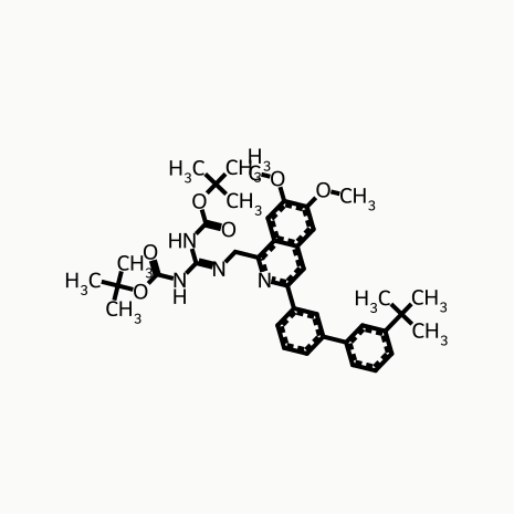 COc1cc2cc(-c3cccc(-c4cccc(C(C)(C)C)c4)c3)nc(CN=C(NC(=O)OC(C)(C)C)NC(=O)OC(C)(C)C)c2cc1OC